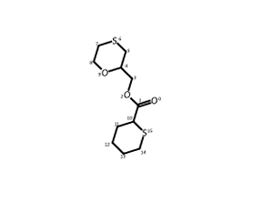 O=C(OCC1CSCCO1)C1CCCCS1